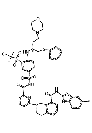 O=C(NS(=O)(=O)c1ccc(N[C@H](CCN2CCOCC2)CSc2ccccc2)c(S(=O)(=O)C(F)(F)Cl)c1)c1cccc(N2CCc3cccc(C(=O)Nc4nc5ccc(F)cc5s4)c3C2)n1